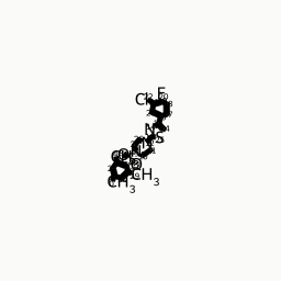 Cc1cc(C)c(S(=O)(=O)N2CCN(c3nc(-c4ccc(F)c(Cl)c4)cs3)CC2)c(C)c1